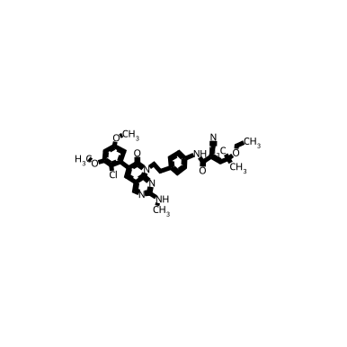 CCOC(C)(C)/C=C(\C#N)C(=O)Nc1ccc(CCn2c(=O)c(-c3cc(OC)cc(OC)c3Cl)cc3cnc(NC)nc32)cc1